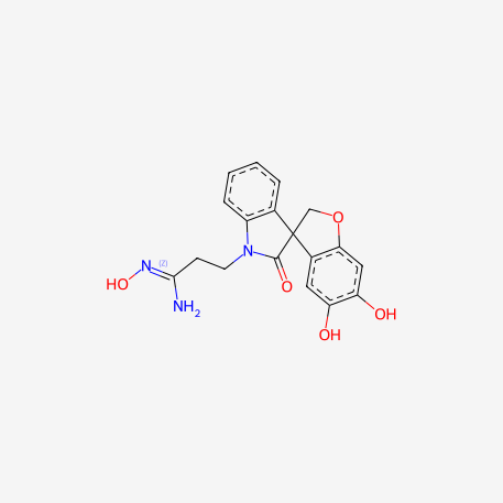 N/C(CCN1C(=O)C2(COc3cc(O)c(O)cc32)c2ccccc21)=N\O